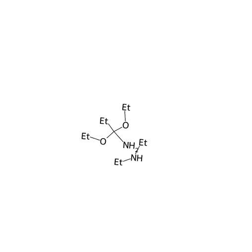 CCNCC.CCOC(N)(CC)OCC